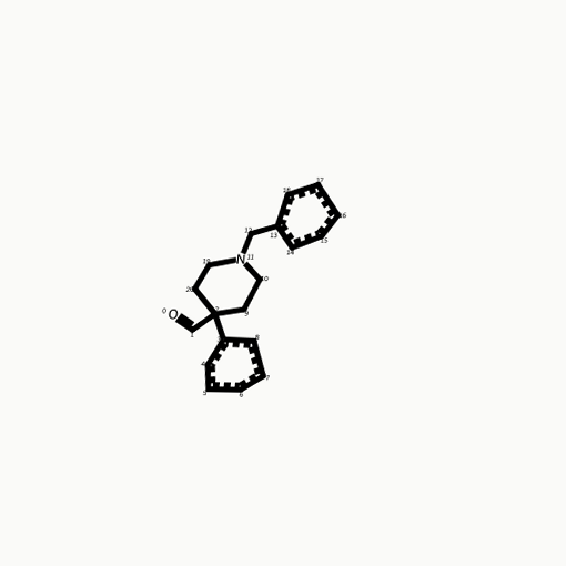 O=CC1(c2ccccc2)CCN(Cc2ccccc2)CC1